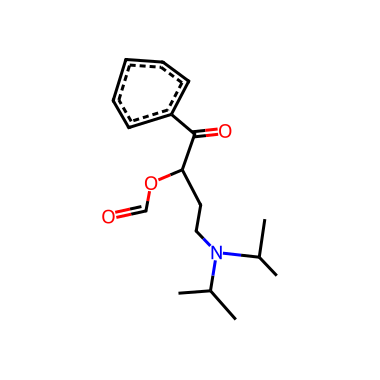 CC(C)N(CCC(OC=O)C(=O)c1ccccc1)C(C)C